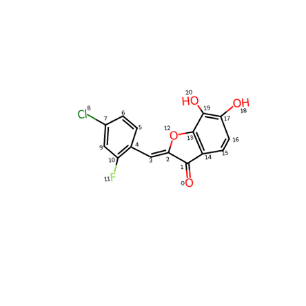 O=C1/C(=C/c2ccc(Cl)cc2F)Oc2c1ccc(O)c2O